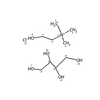 C[N+](C)(C)CCO.OCC(O)C(O)CO.[Cl-]